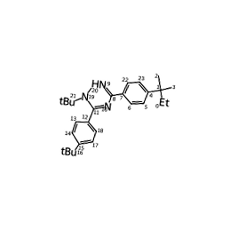 CCC(C)(C)c1ccc(C(=N)/N=C(/c2ccc(C(C)(C)C)cc2)N(C)C(C)(C)C)cc1